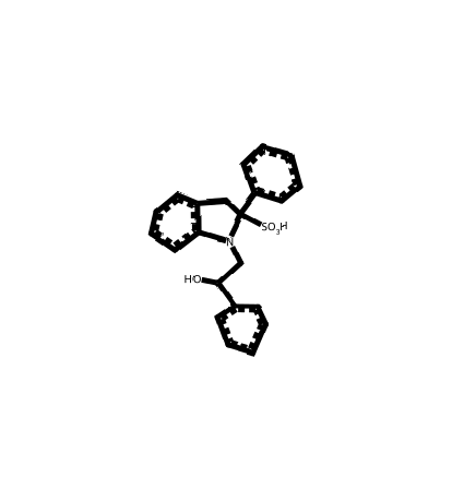 O=S(=O)(O)C1(c2ccccc2)Cc2ccccc2N1CC(O)c1ccccc1